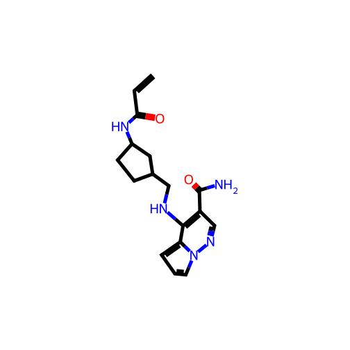 C=CC(=O)NC1CCC(CNc2c(C(N)=O)cnn3cccc23)C1